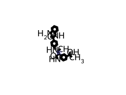 C/C(Nc1ccc(C(=O)Nc2ccccc2N)cc1)=C1/C(=O)Nc2ccc(C(C)O)cc21